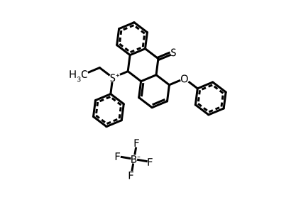 CC[S+](c1ccccc1)C1C2=CC=CC(Oc3ccccc3)C2C(=S)c2ccccc21.F[B-](F)(F)F